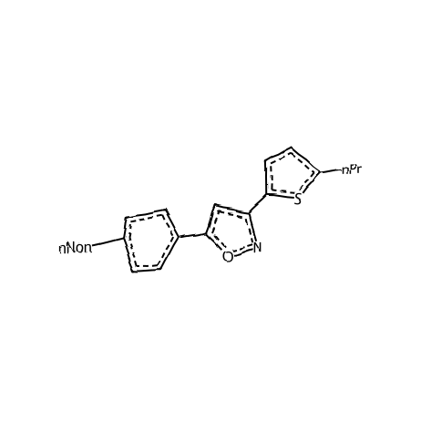 CCCCCCCCCc1ccc(-c2cc(-c3ccc(CCC)s3)no2)cc1